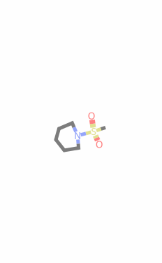 CS(=O)(=O)N1CCCCC1